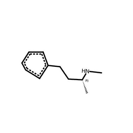 CN[C@H](C)CCc1ccccc1